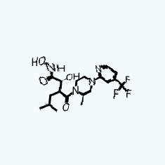 CC(C)CC(C(=O)N1CCN(c2cc(C(F)(F)F)ccn2)C[C@H]1C)[C@@H](O)C(=O)NO